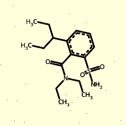 CCC(CC)c1cccc(S(N)(=O)=O)c1C(=O)N(CC)CC